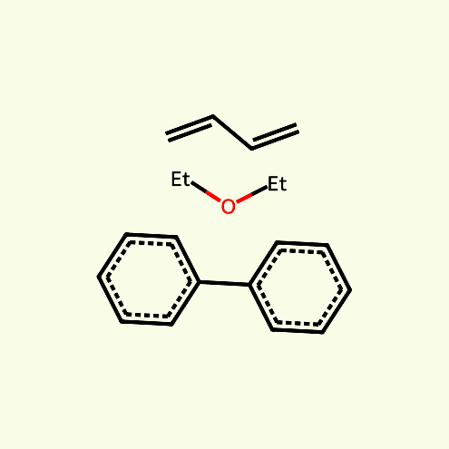 C=CC=C.CCOCC.c1ccc(-c2ccccc2)cc1